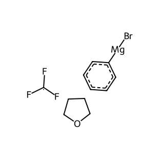 C1CCOC1.F[C](F)F.[Br][Mg][c]1ccccc1